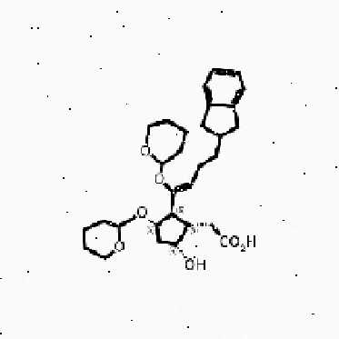 O=C(O)C[C@H]1[C@H](C(=CCCC2Cc3ccccc3C2)OC2CCCCO2)[C@@H](OC2CCCCO2)C[C@H]1O